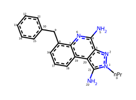 CCCn1nc2c(N)nc3c(Cc4ccccc4)cccc3c2c1N